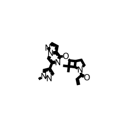 C=CC(=O)N1CCC2C(Oc3nc(-c4cnn(C)c4)cn4nccc34)C(C)(C)C21